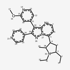 CCC1CC(c2ccnc3c(-c4ccnc(OC)c4)c(-c4ccncc4)nn23)C(C)N1CC